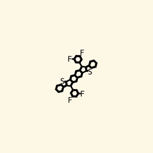 Fc1cc(F)cc(C2=c3cc4cc5c(cc4cc3-c3sc4ccccc4c32)=C(c2cc(F)cc(F)c2)c2c-5sc3ccccc23)c1